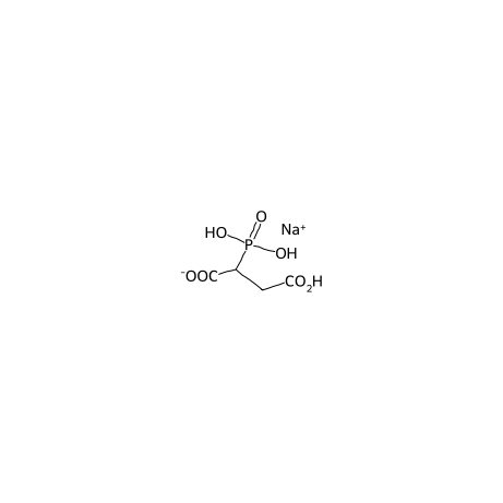 O=C(O)CC(C(=O)[O-])P(=O)(O)O.[Na+]